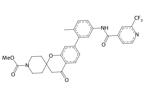 COC(=O)N1CCC2(CC1)CC(=O)c1ccc(-c3cc(NC(=O)c4ccnc(C(F)(F)F)c4)ccc3C)cc1O2